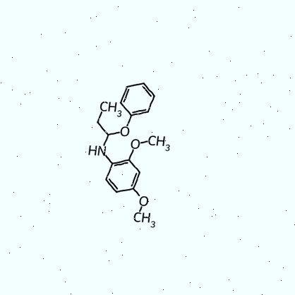 CCC(Nc1ccc(OC)cc1OC)Oc1ccccc1